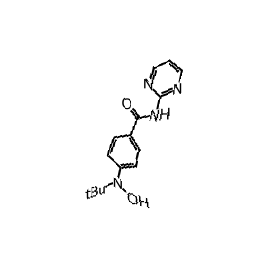 CC(C)(C)N(O)c1ccc(C(=O)Nc2ncccn2)cc1